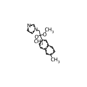 COC(Cn1ccnc1)(OC)c1ccc2cc(C)ccc2c1